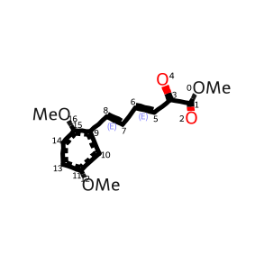 COC(=O)C(=O)/C=C/C=C/c1cc(OC)ccc1OC